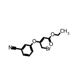 CCOC(=O)C=C(CBr)Oc1cccc(C#N)c1